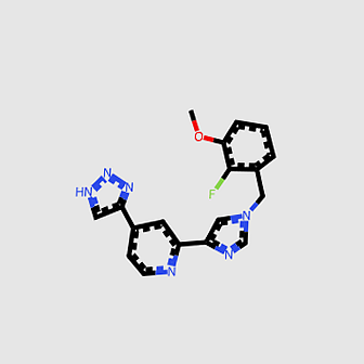 COc1cccc(Cn2cnc(-c3cc(-c4c[nH]nn4)ccn3)c2)c1F